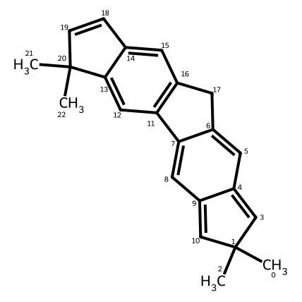 CC1(C)C=c2cc3c(cc2=C1)-c1cc2c(cc1C3)C=CC2(C)C